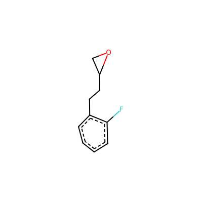 Fc1ccccc1CCC1CO1